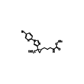 CCOC(=O)C1(c2cn(-c3ccc(Br)cn3)cn2)CC1CCCNC(=O)OC(C)(C)C